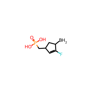 BC1CC(CP(=O)(O)O)C=C1F